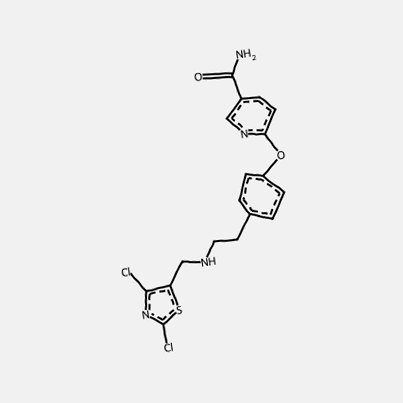 NC(=O)c1ccc(Oc2ccc(CCNCc3sc(Cl)nc3Cl)cc2)nc1